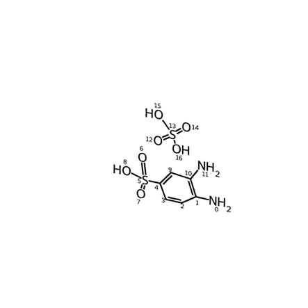 Nc1ccc(S(=O)(=O)O)cc1N.O=S(=O)(O)O